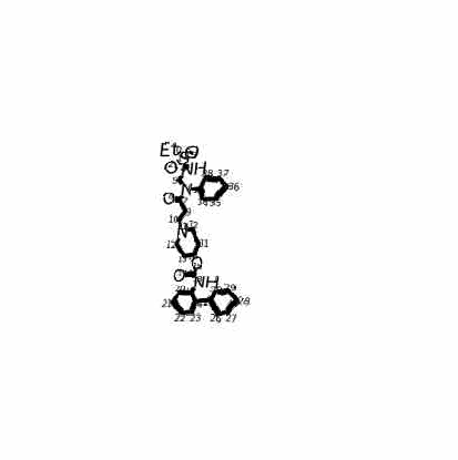 CCS(=O)(=O)NCN(C(=O)CCN1CCC(OC(=O)Nc2ccccc2-c2ccccc2)CC1)c1ccccc1